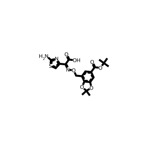 CC(C)(C)OC(=O)c1cc(CO/N=C(\C(=O)O)c2csc(N)n2)c2c(c1)OC(C)(C)O2